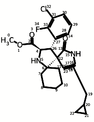 COC(=O)[C@@H]1NC2(CCCCC2)[C@@]2(C(=O)Nc3cc(CC4CC4)ccc32)[C@H]1c1cccc(Cl)c1F